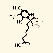 CC1=Nc2cc(C)c(C)c(S)c2C1(C)CCCCCC(=O)O